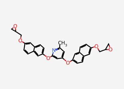 Cc1cc(Oc2ccc3cc(OCC4CO4)ccc3c2)cc(Oc2ccc3cc(OCC4CO4)ccc3c2)n1